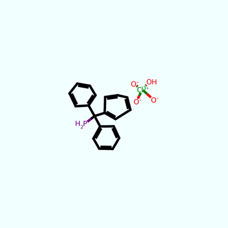 PC(c1ccccc1)(c1ccccc1)c1ccccc1.[O-][Cl+3]([O-])([O-])O